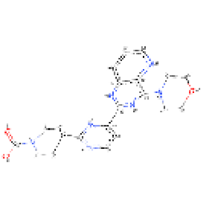 CC(C)(C)OC(=O)N1CCC(c2nccc(-c3nc(N4CCOCC4)c4ncccc4n3)n2)CC1